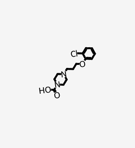 O=C(O)N1CCN(CCCOc2ccccc2Cl)CC1